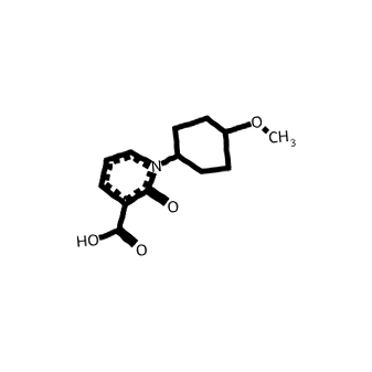 COC1CCC(n2cccc(C(=O)O)c2=O)CC1